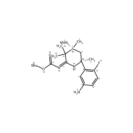 CN[S@]1(C)C[C@@](C)(c2cc(N)ccc2F)N/C(=N/C(=O)OC(C)(C)C)C1(C)C